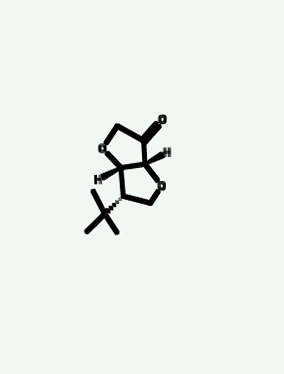 CC(C)(C)[C@H]1CO[C@H]2C(=O)CO[C@H]21